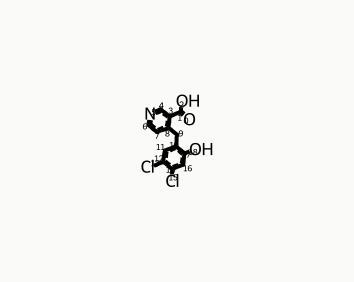 O=C(O)c1cnccc1Cc1cc(Cl)c(Cl)cc1O